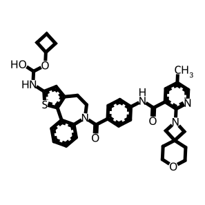 Cc1cnc(N2CC3(CCOCC3)C2)c(C(=O)Nc2ccc(C(=O)N3CCc4cc(NC(O)OC5CCC5)sc4-c4ccccc43)cc2)c1